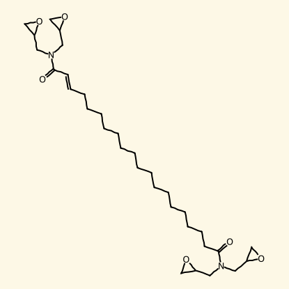 O=C(C=CCCCCCCCCCCCCCCCCC(=O)N(CC1CO1)CC1CO1)N(CC1CO1)CC1CO1